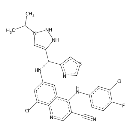 CC(C)N1C=C([C@@H](Nc2cc(Cl)c3ncc(C#N)c(Nc4ccc(F)c(Cl)c4)c3c2)c2cscn2)NN1